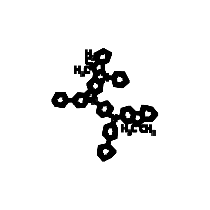 CC1(C)c2ccccc2-c2ccc(N(c3ccc(-c4ccccc4)cc3)c3ccc(-n4c5ccc(-c6ccccc6)cc5c5cc6c7c(n(-c8ccccc8)c6cc54)-c4ccccc4C7(C)C)cc3)cc21